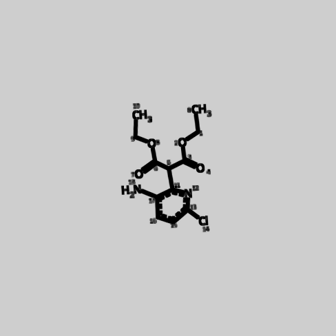 CCOC(=O)C(C(=O)OCC)c1nc(Cl)ccc1N